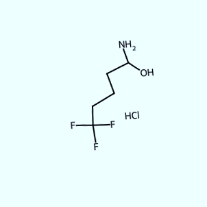 Cl.NC(O)CCCC(F)(F)F